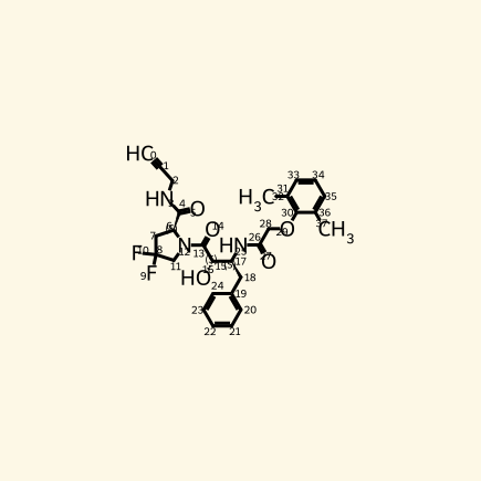 C#CCNC(=O)[C@@H]1CC(F)(F)CN1C(=O)[C@@H](O)[C@H](Cc1ccccc1)NC(=O)COc1c(C)cccc1C